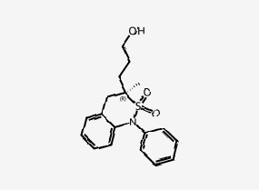 C[C@@]1(CCCO)Cc2ccccc2N(c2ccccc2)S1(=O)=O